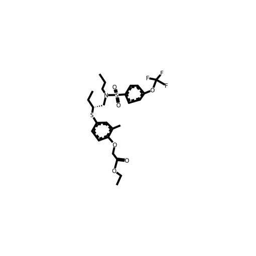 CCCN(C[C@@H](CC)Sc1ccc(OCC(=O)OCC)c(C)c1)S(=O)(=O)c1ccc(OC(F)(F)F)cc1